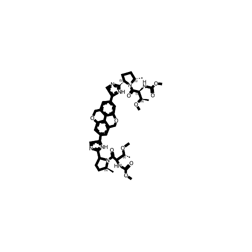 COC(=O)NC(C(=O)N1C(c2ncc(-c3cc4c5c(c3)OCc3cc(-c6cnc([C@@H]7CC[C@H](C)N7C(=O)[C@@H](NC(=O)OC)[C@@H](C)OC)[nH]6)cc(c3-5)OC4)[nH]2)CC[C@@H]1C)[C@@H](C)OC